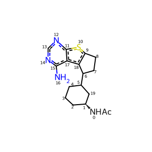 CC(=O)N[C@H]1CCCC(C2CCc3sc4ncnc(N)c4c32)C1